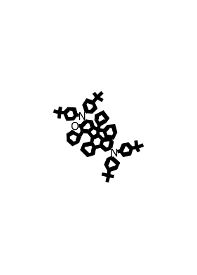 CC(C)(C)C1=CC=C(N(c2ccc(C(C)(C)C)cc2)c2cc3c(c4c2oc2ccccc24)-c2c(c4ccc(N(c5ccc(C(C)(C)C)cc5)c5ccc(C(C)(C)C)cc5)cc4c4ccccc24)C3(c2ccccc2)c2ccccc2)CC1